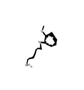 COc1ccccc1NCCCCN